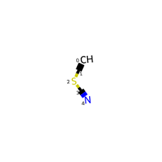 C#CSC#N